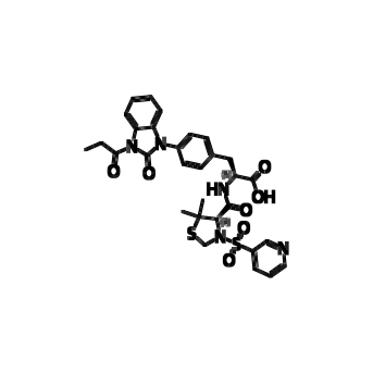 CCC(=O)n1c(=O)n(-c2ccc(C[C@H](NC(=O)[C@H]3N(S(=O)(=O)c4cccnc4)CSC3(C)C)C(=O)O)cc2)c2ccccc21